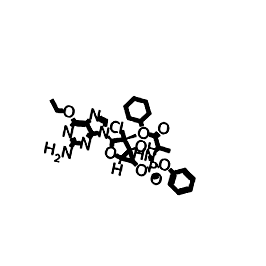 CCOc1nc(N)nc2c1ncn2[C@@H]1O[C@@H]2C(OP(=O)(NC(C)C(=O)OC3CCCCC3)Oc3ccccc3)[C@]2(O)[C@@]1(C)Cl